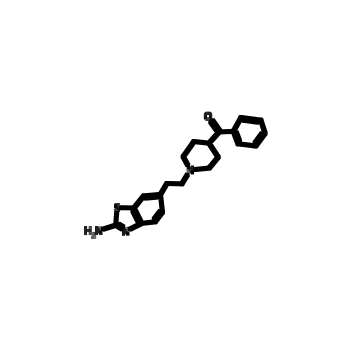 Nc1nc2ccc(CCN3CCC(C(=O)c4ccccc4)CC3)cc2s1